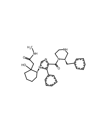 CNC(=O)CC1(O)CCCC[C@@H]1n1cnc(C(=O)N2CCNC[C@H]2Cc2ccccc2)c1-c1ccccc1